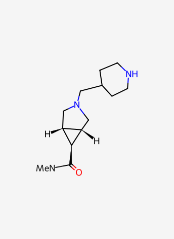 CNC(=O)[C@H]1[C@@H]2CN(CC3CCNCC3)C[C@@H]21